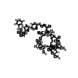 CCC(=O)/N=C1\[C@H](C)C[C@@](C)(O)[C@H](O[C@@H]2O[C@H](C)C[C@H](N(C)C)[C@H]2O)[C@@H](C)C(=O)[C@](C)(F)C(=O)O[C@H](CC)[C@@](C)(O)[C@H](OC/C(CC)=N\OCc2ccc(-c3nc(NP(=O)(O)OCc4ccccc4)cs3)cn2)[C@H]1C